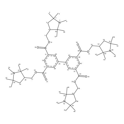 CN1C(C)(C)CC(COC(=O)c2cc(C(=O)OCC3CC(C)(C)N(C)C3(C)C)cc(-c3cc(C(=O)OCC4CC(C)(C)N(C)C4(C)C)cc(C(=O)OCC4CC(C)(C)N(C)C4(C)C)c3)c2)C1(C)C